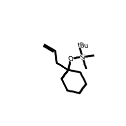 C=CCC1(O[Si](C)(C)C(C)(C)C)CCCCC1